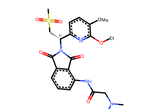 CCOc1nc([C@@H](CS(C)(=O)=O)N2C(=O)c3cccc(NC(=O)CN(C)C)c3C2=O)ccc1OC